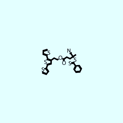 CC(C#N)(CCC(=O)OCCc1cc(-c2cccs2)sc1-c1cccs1)SC(=S)c1ccccc1